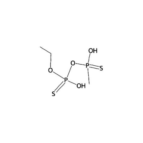 CCOP(O)(=S)OP(C)(O)=S